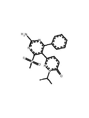 CC(C)n1nc(-c2c(-c3ccccc3)nc(N)nc2S(C)(=O)=O)ccc1=O